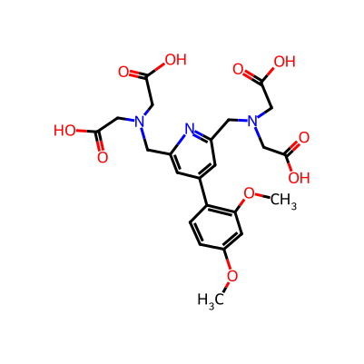 COc1ccc(-c2cc(CN(CC(=O)O)CC(=O)O)nc(CN(CC(=O)O)CC(=O)O)c2)c(OC)c1